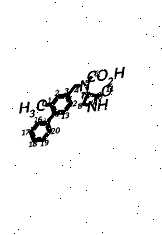 Cc1cc(CN(C(=O)O)[C@H]2CNC2=O)ccc1-c1ccccc1